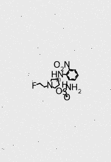 N[SH](=O)=O.O=[N+]([O-])c1ccccc1N[C@@H]1CCN(CCF)C1